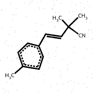 Cc1ccc(/C=C/C(C)(C)C#N)cc1